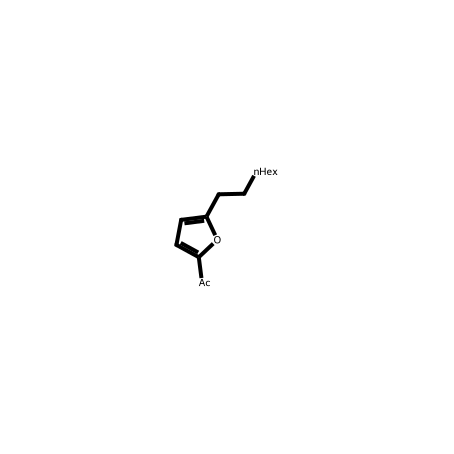 CCCCCCCCc1ccc(C(C)=O)o1